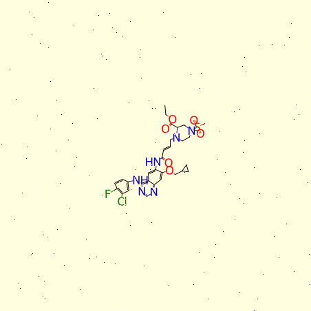 CCOC(=O)C1CN(S(C)(=O)=O)CCN1CC=CC(=O)Nc1cc2c(Nc3ccc(F)c(Cl)c3)ncnc2cc1OCC1CC1